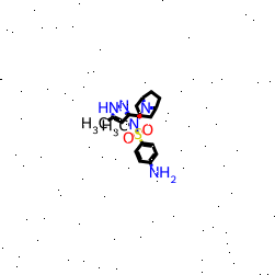 Cc1cc(CN2C3CCC2CC(N(C)S(=O)(=O)c2ccc(N)cc2)C3)n[nH]1